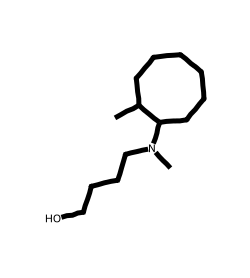 CC1CCCCCCC1N(C)CCCCO